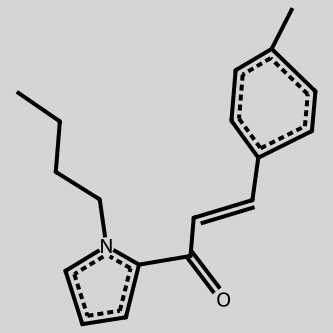 CCCCn1cccc1C(=O)/C=C/c1ccc(C)cc1